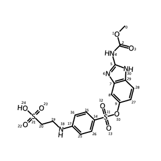 COC(=O)Nc1nc2cc(OS(=O)(=O)c3ccc(NCCS(=O)(=O)O)cc3)ccc2[nH]1